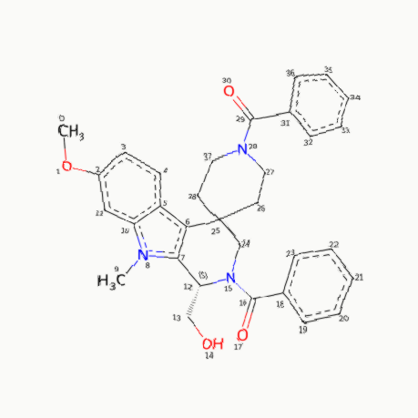 COc1ccc2c3c(n(C)c2c1)[C@@H](CO)N(C(=O)c1ccccc1)CC31CCN(C(=O)c2ccccc2)CC1